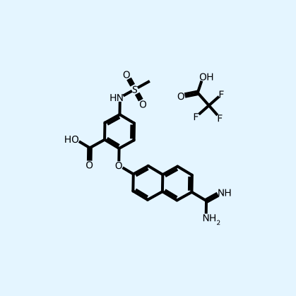 CS(=O)(=O)Nc1ccc(Oc2ccc3cc(C(=N)N)ccc3c2)c(C(=O)O)c1.O=C(O)C(F)(F)F